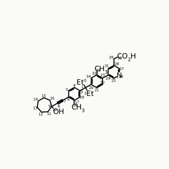 CCC(CC)(c1ccc(C#CC2(O)CCCCCC2)c(C)c1)c1ccc(-c2cncc(CC(=O)O)c2)c(C)c1